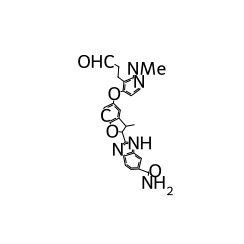 CNc1nccc(Oc2ccc3c(c2)C(C)C(c2nc4ccc(C(N)=O)cc4[nH]2)O3)c1CCC=O